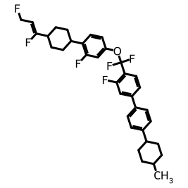 CC1CCC(c2ccc(-c3ccc(C(F)(F)Oc4ccc(C5CCC(/C(F)=C/CF)CC5)c(F)c4)c(F)c3)cc2)CC1